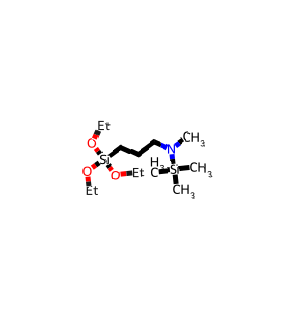 CCO[Si](CCCN(C)[Si](C)(C)C)(OCC)OCC